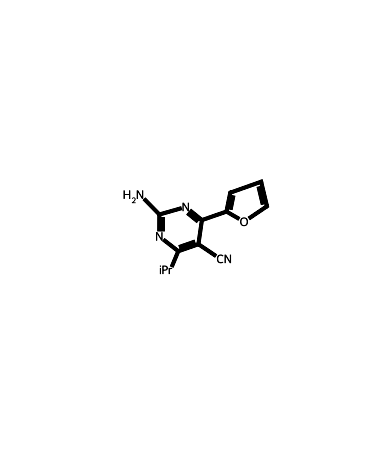 CC(C)c1nc(N)nc(-c2ccco2)c1C#N